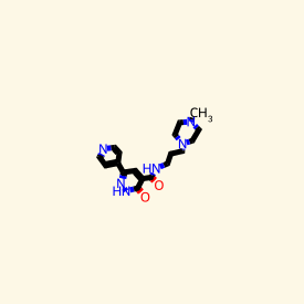 CN1CCN(CCCNC(=O)c2cc(-c3ccncc3)n[nH]c2=O)CC1